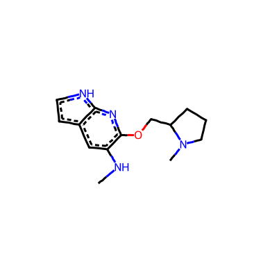 CNc1cc2cc[nH]c2nc1OCC1CCCN1C